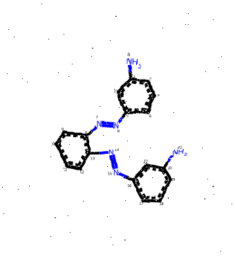 Nc1cccc(N=Nc2ccccc2N=Nc2cccc(N)c2)c1